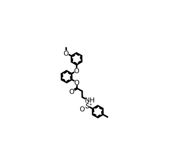 COc1cccc(Oc2ccccc2OC(=O)CCN[S+]([O-])c2ccc(C)cc2)c1